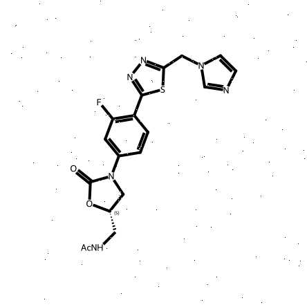 CC(=O)NC[C@H]1CN(c2ccc(-c3nnc(Cn4ccnc4)s3)c(F)c2)C(=O)O1